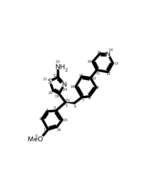 COc1ccc([C@H](Cc2ccc(-c3ccncc3)cc2)c2csc(N)n2)cc1